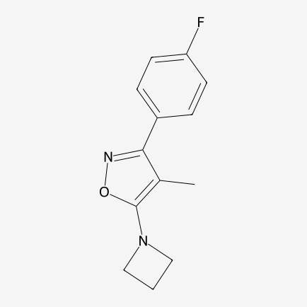 Cc1c(-c2ccc(F)cc2)noc1N1CCC1